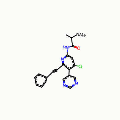 CNC(C)C(=O)Nc1cc(Cl)c(-c2cncnc2)c(C#Cc2ccccc2)n1